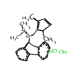 CC1=[C]([Zr]([CH]2c3ccccc3-c3ccccc32)=[Si](C)C)C(C)C=C1.Cl.Cl